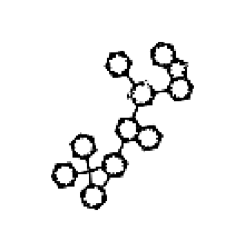 c1ccc(-c2nc(-c3ccc(-c4ccc5c(c4)C(c4ccccc4)(c4ccccc4)c4ccccc4-5)c4ccccc34)cc(-c3cccc4sc5ccccc5c34)n2)cc1